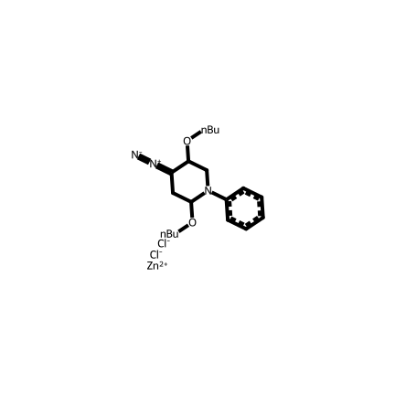 CCCCOC1CN(c2ccccc2)C(OCCCC)CC1=[N+]=[N-].[Cl-].[Cl-].[Zn+2]